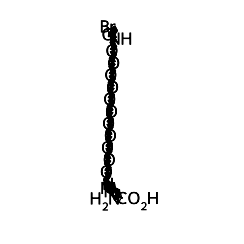 N[C@@H](Cc1cn(CCOCCOCCOCCOCCOCCOCCOCCOCCOCCOCCOCCNC(=O)CBr)nn1)C(=O)O